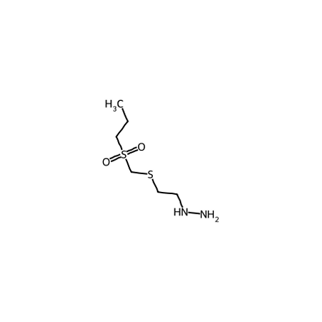 CCCS(=O)(=O)CSCCNN